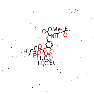 CCC(=O)OCCN[C@@H](Cc1ccc(OC(=O)OC(C)(C)CC)c(OC(=O)OC(C)(C)CC)c1)C(=O)OC